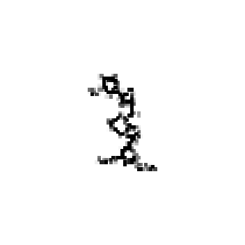 COc1cc(-c2nnc3n2CCCCN3Cc2cc(-c3cccc(C#N)c3)on2)nc(OC)n1